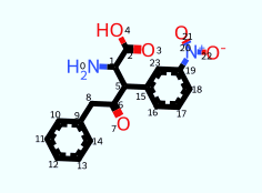 NC(C(=O)O)C(C(=O)Cc1ccccc1)c1cccc([N+](=O)[O-])c1